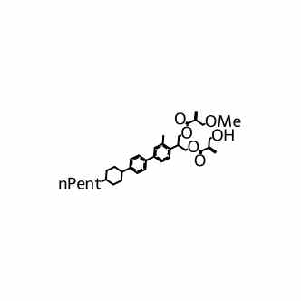 C=C(CO)C(=O)OCC(COC(=O)C(=C)COC)c1ccc(-c2ccc(C3CCC(CCCCC)CC3)cc2)cc1C